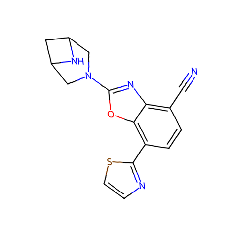 N#Cc1ccc(-c2nccs2)c2oc(N3CC4CC(C3)N4)nc12